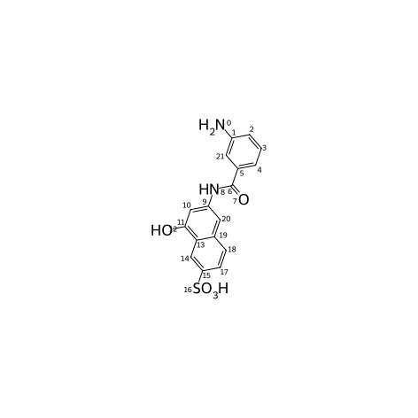 Nc1cccc(C(=O)Nc2cc(O)c3cc(S(=O)(=O)O)ccc3c2)c1